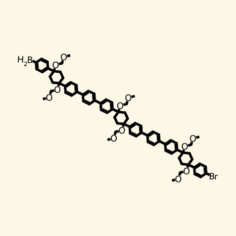 Bc1ccc(C2(OCOC)CCC(OCOC)(c3ccc(-c4ccc(-c5ccc(C6(OCOC)CCC(OCOC)(c7ccc(-c8ccc(-c9ccc(C%10(OCOC)CCC(OCOC)(c%11ccc(Br)cc%11)CC%10)cc9)cc8)cc7)CC6)cc5)cc4)cc3)CC2)cc1